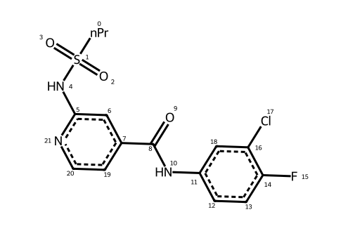 CCCS(=O)(=O)Nc1cc(C(=O)Nc2ccc(F)c(Cl)c2)ccn1